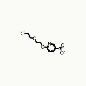 O=[N+]([O-])c1ccc(OCCOCCCl)nc1